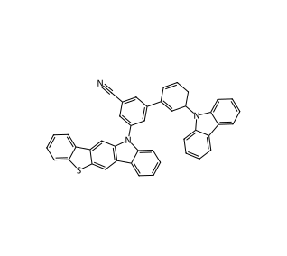 N#Cc1cc(C2=CC(n3c4ccccc4c4ccccc43)CC=C2)cc(-n2c3ccccc3c3cc4sc5ccccc5c4cc32)c1